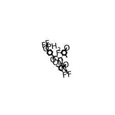 COc1cc(C)c([C@@H]2CN(c3c(C)ccn(CC(F)F)c3=O)C(=O)[C@H]2CC(=O)c2ccc(OC(F)(F)P)cc2)c(F)c1